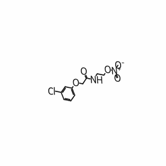 O=C(COc1cccc(Cl)c1)NCCO[N+](=O)[O-]